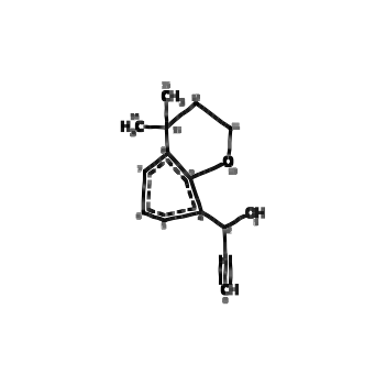 C#CC(O)c1cccc2c1OCCC2(C)C